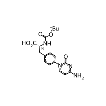 CC(C)(C)OC(=O)N[C@H](Cc1ccc(-n2ccc(N)nc2=O)cc1)C(=O)O